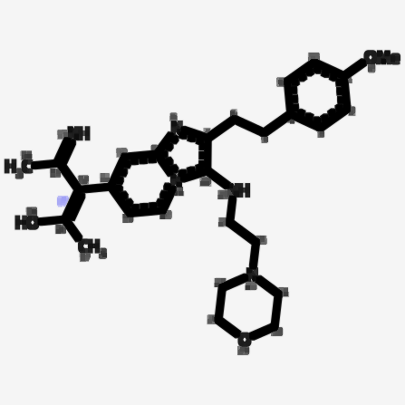 COc1ccc(CCc2nc3cc(/C(C(C)=N)=C(\C)O)ccn3c2NCCN2CCOCC2)cc1